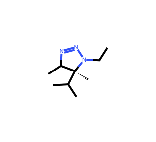 CCN1N=NC(C)[C@]1(C)C(C)C